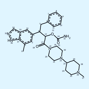 Cc1cc(C(Cc2ccccc2)C(OC(N)=O)C(=O)N2CCN(C3CCN(C)CC3)CC2)cc2cn[nH]c12